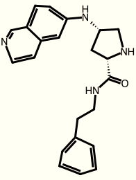 O=C(NCCc1ccccc1)[C@@H]1C[C@H](Nc2ccc3cnccc3c2)CN1